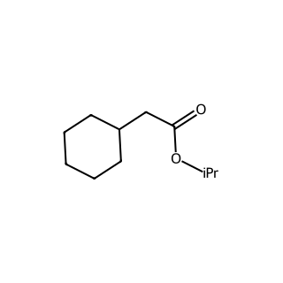 CC(C)OC(=O)CC1CCCCC1